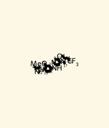 COc1cc(Nc2cc3c(cn2)OCC(CC(F)(F)F)N3C)ccc1-n1cnc(C)c1